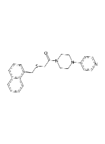 O=C(CSCc1cccc2ccccc12)N1CCN(c2ccncc2)CC1